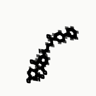 O=C1CCC(N2C(=O)c3ccc(NCCCC(=O)N4CCC(c5ccccc5)CC4)cc3C2=O)C(=O)N1